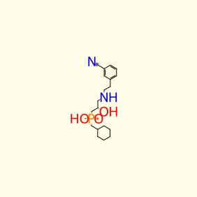 N#Cc1cccc(CCNC[C@H](O)CP(=O)(O)CC2CCCCC2)c1